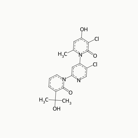 Cc1cc(O)c(Cl)c(=O)n1-c1cc(-n2cccc(C(C)(C)O)c2=O)ncc1Cl